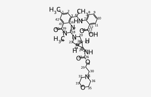 Cc1cc(C(C)Nc2ccccc2C(=O)O)c2nc(N3C[C@@H]4[C@H](C3)[C@@H]4NC(=O)OCCN3CCOCC3)n(C)c(=O)c2c1